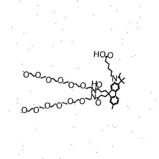 COCCOCCOCCOCCOCCOCCNC(=O)CCC1(CCC(=O)NCCOCCOCCOCCOCCOCCOC)c2cc(C)ccc2-c2cc3c(cc21)[N+](CCCCCC(=O)O)=C(C)C3(C)C